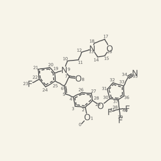 COc1cc(C=C2C(=O)N(CCCN3CCOCC3)c3ccc(F)cc32)ccc1Oc1ccc(C#N)cc1C(F)(F)F